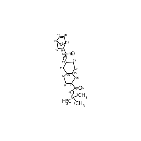 CC(C)(C)OC(=O)C1CCC2CC(OC(=O)C3CC4C=CC3C4)CCC2C1